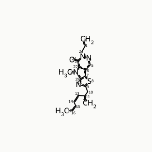 C=CCn1ncc2c3sc(CC(=C)/C=C\C=C/C)nc3n(C)c2c1=O